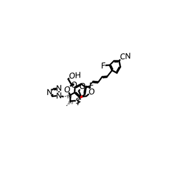 C[C@@H](S[C@H]1CO[C@H](C=CC=Cc2ccc(C#N)cc2F)OC1)[C@@](Cn1cncn1)(OC(=O)CO)c1ccc(F)cc1F